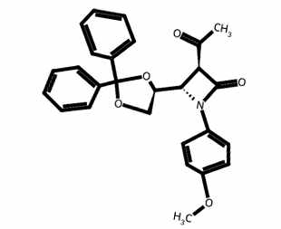 COc1ccc(N2C(=O)[C@H](C(C)=O)[C@H]2[C@H]2COC(c3ccccc3)(c3ccccc3)O2)cc1